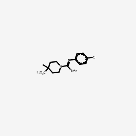 CCOC(=O)C1(C)CCN(C(=Nc2ccc(Cl)cc2)SC)CC1